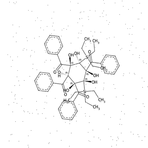 CC[Si](CC)(CC)[C@@]1(O)[C@](O)(C(=O)c2ccccc2)[C@](O)([Si](CC)(CC)CC)[C@](O)(C(=O)c2ccccc2)[C@@](O)(C(=O)c2ccccc2)[C@]1(O)C(=O)c1ccccc1